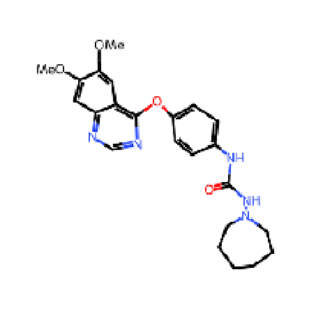 COc1cc2ncnc(Oc3ccc(NC(=O)NN4CCCCCC4)cc3)c2cc1OC